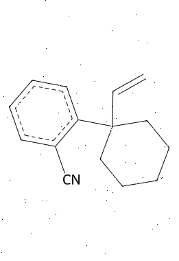 C=CC1(c2ccccc2C#N)CCCCC1